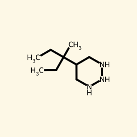 CCC(C)(CC)C1CNNNC1